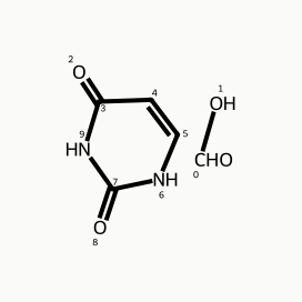 O=CO.O=c1cc[nH]c(=O)[nH]1